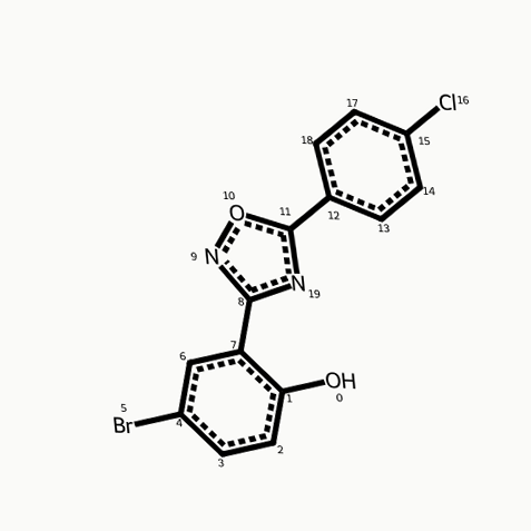 Oc1ccc(Br)cc1-c1noc(-c2ccc(Cl)cc2)n1